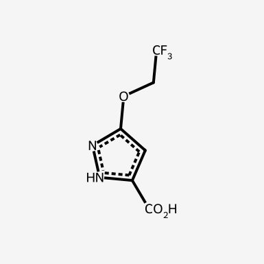 O=C(O)c1cc(OCC(F)(F)F)n[nH]1